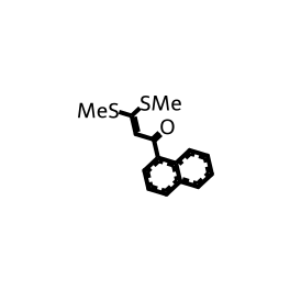 CSC(=CC(=O)c1cccc2ccccc12)SC